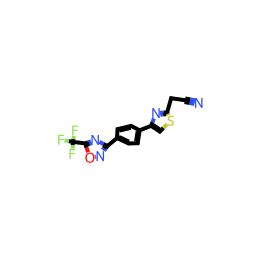 N#CCc1nc(-c2ccc(-c3noc(C(F)(F)F)n3)cc2)cs1